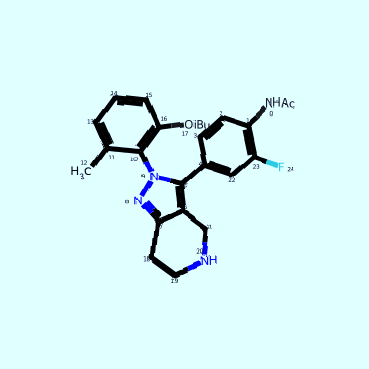 CC(=O)Nc1ccc(-c2c3c(nn2-c2c(C)cccc2OCC(C)C)CCNC3)cc1F